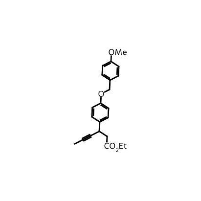 CC#CC(CC(=O)OCC)c1ccc(OCc2ccc(OC)cc2)cc1